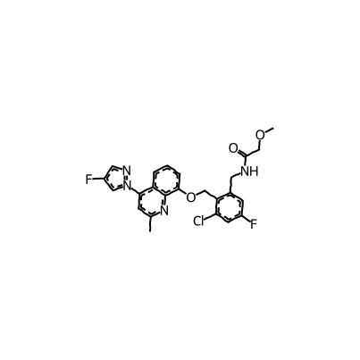 COCC(=O)NCc1cc(F)cc(Cl)c1COc1cccc2c(-n3cc(F)cn3)cc(C)nc12